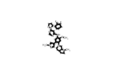 COc1cc(N2CCC3CCN(C)C3C2)c(-c2cnn(C)c2)cc1Nc1cc(N2OCC[C@@H]2c2cccc(F)c2F)ncn1